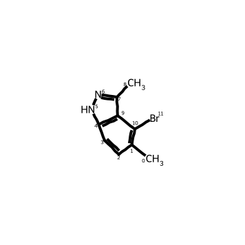 Cc1ccc2[nH]nc(C)c2c1Br